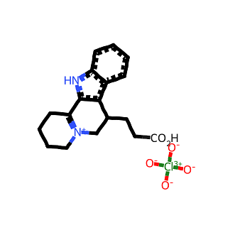 O=C(O)CCC1C[N+]2=C(CCCC2)c2[nH]c3ccccc3c21.[O-][Cl+3]([O-])([O-])[O-]